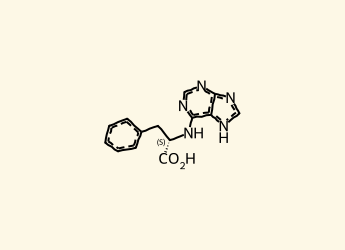 O=C(O)[C@H](Cc1ccccc1)Nc1ncnc2nc[nH]c12